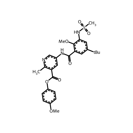 COc1ccc(OC(=O)c2cc(NC(=O)c3cc(C(C)(C)C)cc(NS(C)(=O)=O)c3OC)cnc2C)cc1